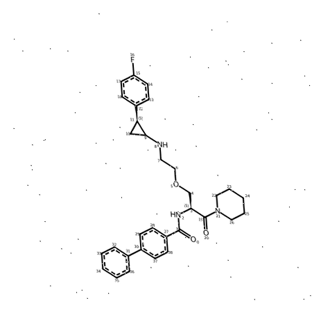 O=C(N[C@@H](COCCNC1C[C@H]1c1ccc(F)cc1)C(=O)N1CCCCC1)c1ccc(-c2ccccc2)cc1